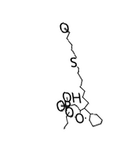 CCCOP(=O)(O)CC([O])C(CCCCCCCSCCCCC=O)C1CCCCC1